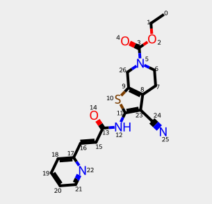 CCOC(=O)N1CCc2c(sc(NC(=O)C=Cc3ccccn3)c2C#N)C1